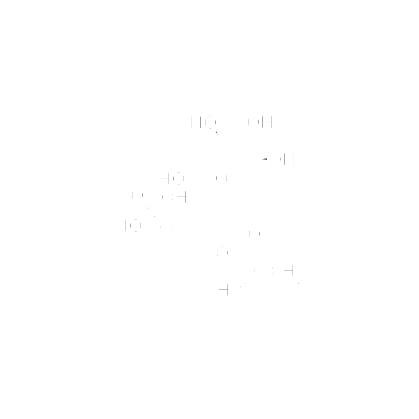 C=C(C)C(=O)OCCC1O[C@H](CO)[C@@H](O)[C@H](O)[C@H]1O.O=S(=O)(O)O